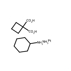 N.NC1CCCCC1.O=C(O)C1(C(=O)O)CCC1.[Pt]